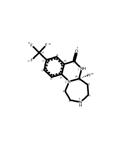 O=C1N[C@H]2CCNCCN2c2ccc(C(F)(F)F)cc21